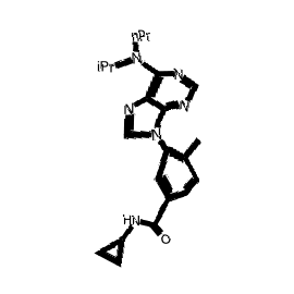 CCCN(c1ncnc2c1ncn2-c1cc(C(=O)NC2CC2)ccc1C)C(C)C